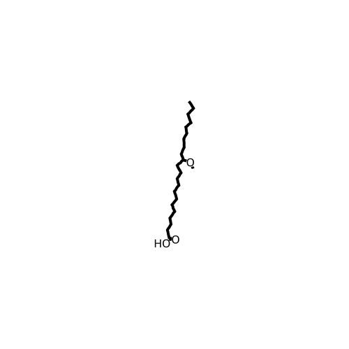 CCCCCCCCCC(CCCCCCCCCCCC(=O)O)OC